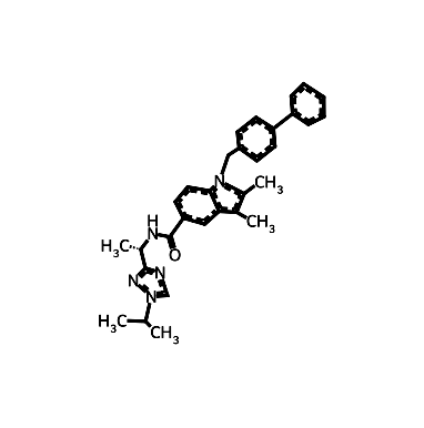 Cc1c(C)n(Cc2ccc(-c3ccccc3)cc2)c2ccc(C(=O)N[C@@H](C)c3ncn(C(C)C)n3)cc12